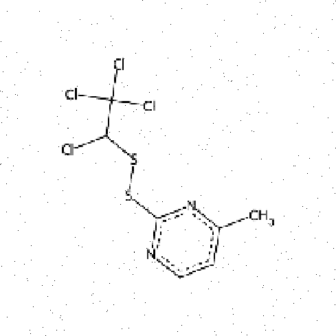 Cc1ccnc(SSC(Cl)C(Cl)(Cl)Cl)n1